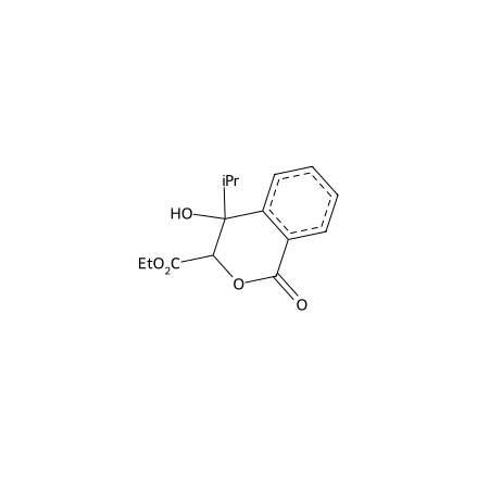 CCOC(=O)C1OC(=O)c2ccccc2C1(O)C(C)C